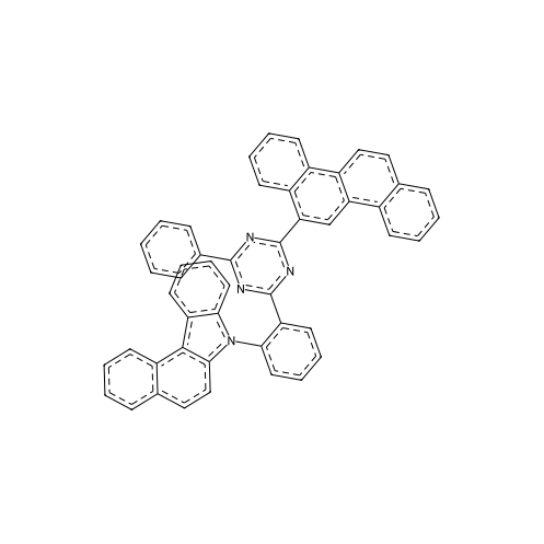 c1ccc(-c2nc(-c3ccccc3-n3c4ccccc4c4c5ccccc5ccc43)nc(-c3cc4c5ccccc5ccc4c4ccccc34)n2)cc1